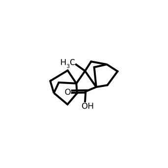 CC1(C23CCC(CC2)C3)CC2CCC1(C(=O)O)C2